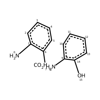 Nc1ccccc1C(=O)O.Nc1ccccc1O